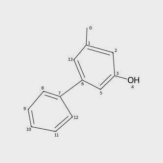 Cc1cc(O)cc(-c2ccccc2)c1